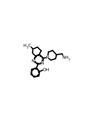 CC1CCc2c(nc(-c3ccccc3O)nc2N2CCC(CN)CC2)C1